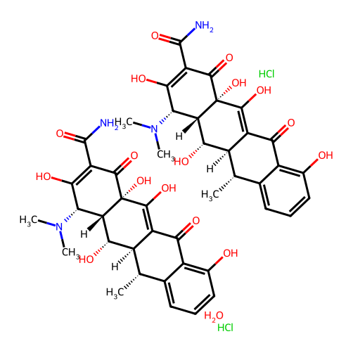 C[C@H]1c2cccc(O)c2C(=O)C2=C(O)[C@]3(O)C(=O)C(C(N)=O)=C(O)[C@@H](N(C)C)[C@H]3[C@@H](O)[C@@H]21.C[C@H]1c2cccc(O)c2C(=O)C2=C(O)[C@]3(O)C(=O)C(C(N)=O)=C(O)[C@@H](N(C)C)[C@H]3[C@@H](O)[C@@H]21.Cl.Cl.O